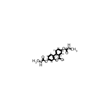 CNC(=O)Oc1ccc2c(c1)oc(=O)c1cc(OC(=O)NC)ccc12